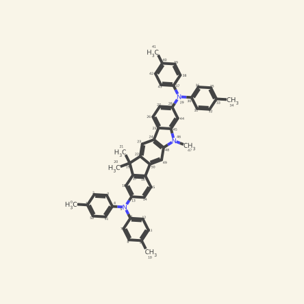 Cc1ccc(N(c2ccc(C)cc2)c2ccc3c(c2)C(C)(C)c2cc4c5ccc(N(c6ccc(C)cc6)c6ccc(C)cc6)cc5n(C)c4cc2-3)cc1